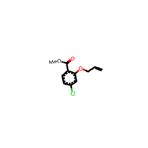 C=CCOc1cc(Cl)ccc1C(=O)OC